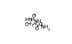 NOC(=O)c1cc(=O)[nH]c(=O)[nH]1